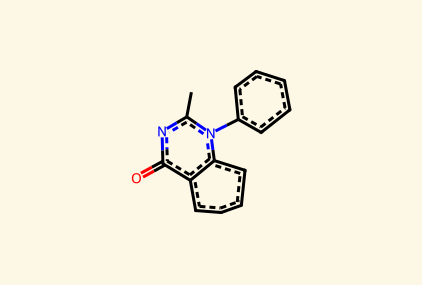 Cc1nc(=O)c2ccccc2n1-c1ccccc1